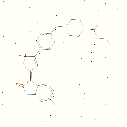 CCOC(=O)N1CCN(Cc2ccc(C3=CC(=C4C(=O)Nc5cc(F)ccc54)OC3(C)C)cc2)CC1